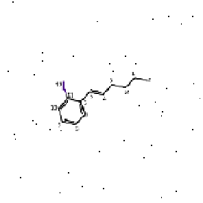 CCCC/C=C/c1ccccc1I